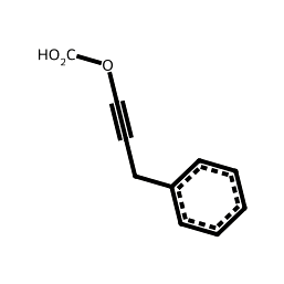 O=C(O)OC#CCc1ccccc1